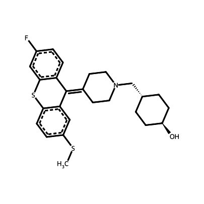 CSc1ccc2c(c1)C(=C1CCN(C[C@H]3CC[C@H](O)CC3)CC1)c1ccc(F)cc1S2